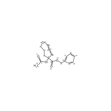 CCCCC(N=[N+]=[N-])(OC(C)=O)C(=O)OCc1ccccc1